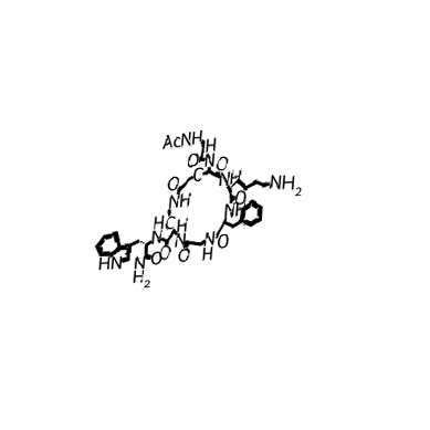 CC(=O)NCC(=O)NC1CCC(=O)NCCC(C(=O)N[C@@H](Cc2c[nH]c3ccccc23)C(N)=O)NC(=O)CNC(=O)C(Cc2ccccc2)NC(=O)[C@H](CCCCN)NC1=O